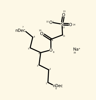 CCCCCCCCCCCCCC(CCCCCCCCCCCC)OC(=O)CS(=O)(=O)[O-].[Na+]